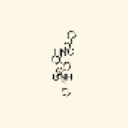 O=C(NCc1ccccc1-c1ccccc1OC(=O)NCCc1ccccc1)OCc1ccccc1